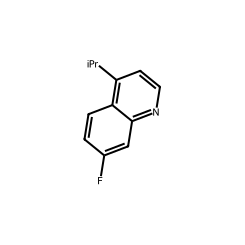 CC(C)c1ccnc2cc(F)ccc12